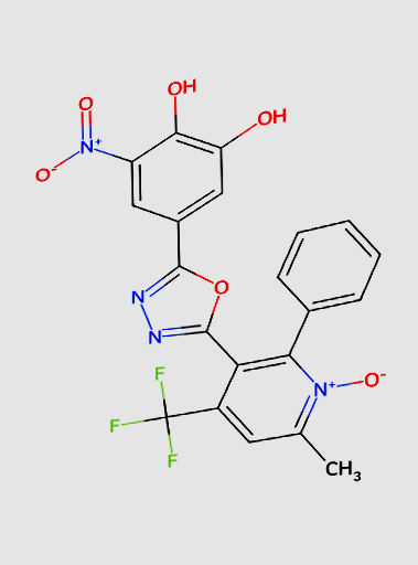 Cc1cc(C(F)(F)F)c(-c2nnc(-c3cc(O)c(O)c([N+](=O)[O-])c3)o2)c(-c2ccccc2)[n+]1[O-]